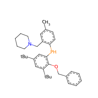 Cc1ccc(Pc2cc(C(C)(C)C)cc(C(C)(C)C)c2OCc2ccccc2)c(CN2CCCCC2)c1